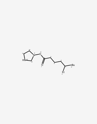 CCCCC(CC)CCCC(=O)ON1CCNC1